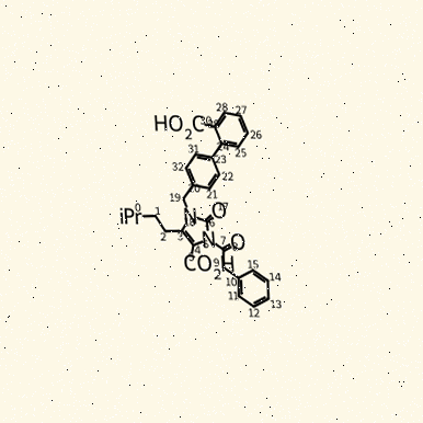 CC(C)CCc1c(C(=O)O)n(C(=O)Cc2ccccc2)c(=O)n1Cc1ccc(-c2ccccc2C(=O)O)cc1